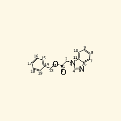 O=C(Cn1cnc2ccccc21)OCc1ccccc1